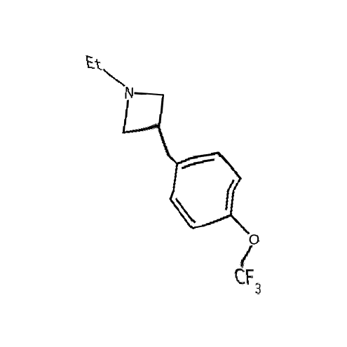 CCN1CC(c2ccc(OC(F)(F)F)cc2)C1